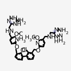 COc1nc(OCc2cccc(-c3cccc(COc4ccc(CNC/C(=N/N)NN)c(OC)n4)c3Cl)c2Cl)ccc1CNC/C(=N/N)NN